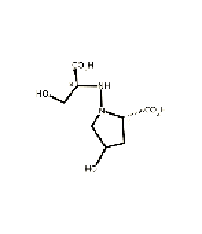 O=C(O)[C@H](CO)NN1CC(O)C[C@H]1C(=O)O